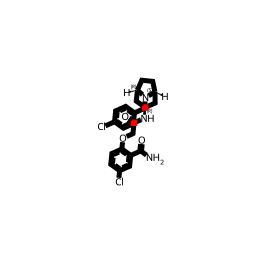 NC(=O)c1cc(Cl)ccc1OCC(=O)N[C@H]1C[C@H]2CC[C@@H](C1)N2Cc1ccc(Cl)cc1